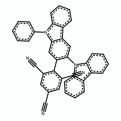 N#Cc1cc(C#N)c(-c2cc3c(cc2-n2c4ccccc4c4ccccc42)c2ccccc2n3-c2ccccc2)c(C#N)c1